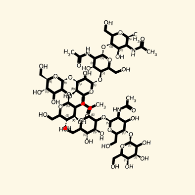 CC(=O)NC1C(O)[C@H](O[C@@H]2OC(CO)[C@H](O)[C@H](O)C2O)C(CO)O[C@H]1OC1[C@@H](OCC2O[C@@H](O[C@@H]3C(CO)O[C@@H](O[C@@H]4C(CO)O[C@@H](C)C(NC(C)=O)[C@H]4O)C(NC(C)=O)[C@H]3O)C(O)[C@@H](O[C@H]3O[C@H](CO)[C@@H](O)C(O)C3O[C@@H]3OC(CO)[C@@H](O)[C@H](O)C3NC(C)=O)[C@@H]2O)OC(CO)[C@@H](O)[C@@H]1O